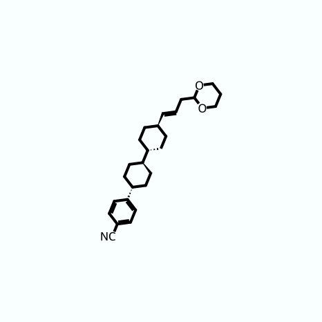 N#Cc1ccc([C@H]2CC[C@H]([C@H]3CC[C@H](C=CCC4OCCCO4)CC3)CC2)cc1